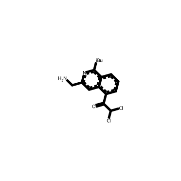 CCC(C)c1nc(CN)cc2c(C(=O)C(Cl)Cl)cccc12